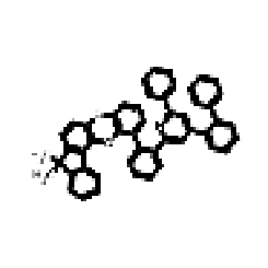 CC1(C)c2ccccc2-c2c1ccc1c2Oc2c(cccc2-c2ccccc2-c2cc(-c3ccccc3-c3ccccc3)cc(-c3ccccc3)n2)O1